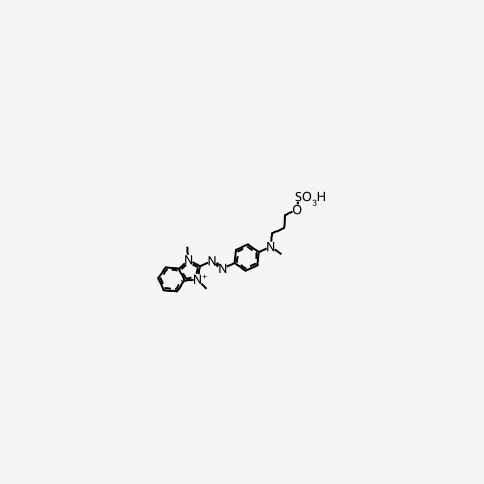 CN(CCCOS(=O)(=O)O)c1ccc(N=Nc2n(C)c3ccccc3[n+]2C)cc1